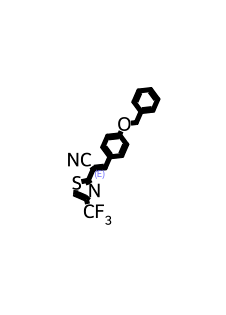 N#C/C(=C\c1ccc(OCc2ccccc2)cc1)c1nc(C(F)(F)F)cs1